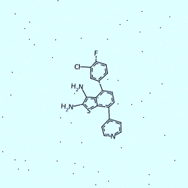 Nc1sc2c(-c3ccncc3)ccc(-c3ccc(F)c(Cl)c3)c2c1N